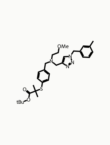 COCCN(Cc1ccc(SC(C)(C)C(=O)OC(C)(C)C)cc1)Cc1cn(Cc2cccc(C)c2)nn1